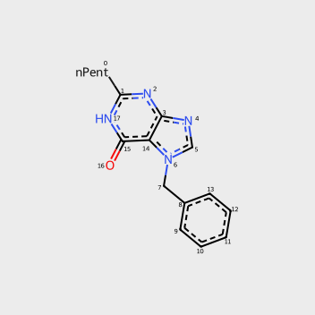 CCCCCc1nc2ncn(Cc3ccccc3)c2c(=O)[nH]1